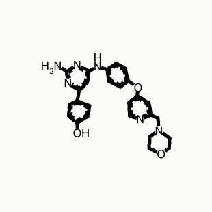 Nc1nc(Nc2ccc(Oc3ccnc(CN4CCOCC4)c3)cc2)cc(-c2ccc(O)cc2)n1